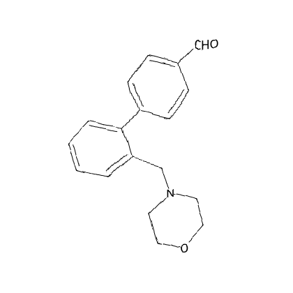 O=Cc1ccc(-c2ccccc2CN2CCOCC2)cc1